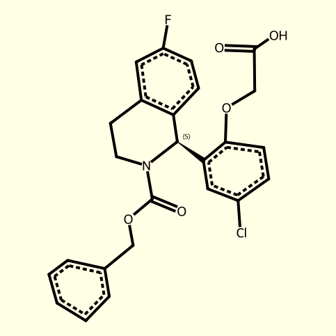 O=C(O)COc1ccc(Cl)cc1[C@@H]1c2ccc(F)cc2CCN1C(=O)OCc1ccccc1